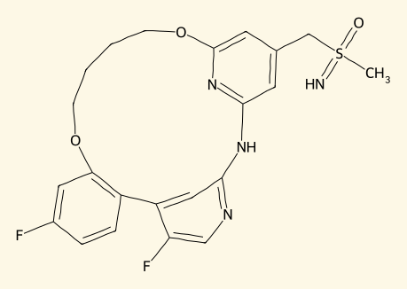 CS(=N)(=O)Cc1cc2nc(c1)OCCCCOc1cc(F)ccc1-c1cc(ncc1F)N2